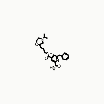 CNC(=O)c1cc(C(=O)NCCCC2CN(C(C)C)CCO2)cc(Cc2ccccc2)n1